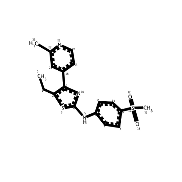 CCc1sc(Nc2ccc(S(C)(=O)=O)cc2)nc1-c1ccnc(C)c1